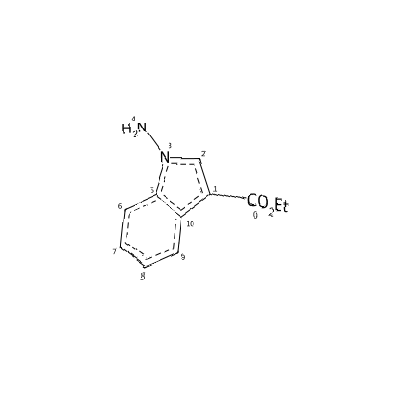 CCOC(=O)c1cn(N)c2ccccc12